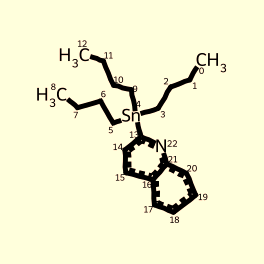 CCC[CH2][Sn]([CH2]CCC)([CH2]CCC)[c]1ccc2ccccc2n1